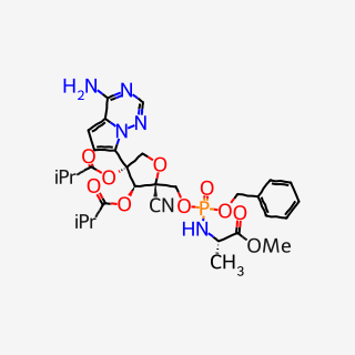 COC(=O)[C@H](C)NP(=O)(OCc1ccccc1)OC[C@@]1(C#N)OC[C@](OC(=O)C(C)C)(c2ccc3c(N)ncnn23)[C@@H]1OC(=O)C(C)C